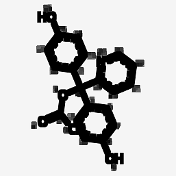 CC(=O)OC(c1ccc(O)cc1)(c1ccc(O)cc1)c1ccccn1